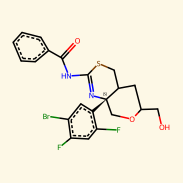 O=C(NC1=N[C@@]2(c3cc(Br)c(F)cc3F)COC(CO)CC2CS1)c1ccccc1